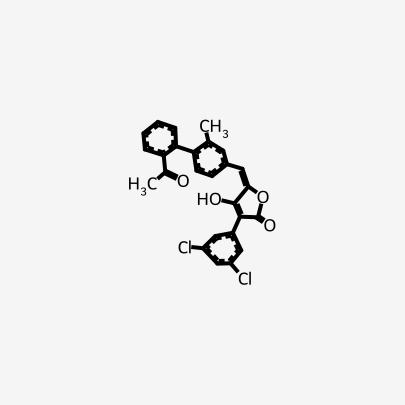 CC(=O)c1ccccc1-c1ccc(C=C2OC(=O)C(c3cc(Cl)cc(Cl)c3)=C2O)cc1C